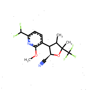 COc1nc(C(F)F)ccc1C1C(C)C(C)(C(F)(F)F)O[C@H]1C#N